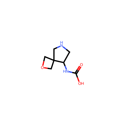 O=C(O)NC1CNCC12COC2